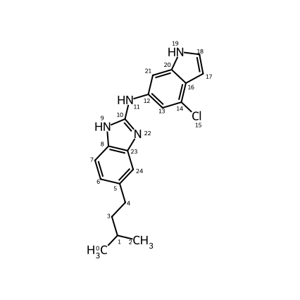 CC(C)CCc1ccc2[nH]c(Nc3cc(Cl)c4cc[nH]c4c3)nc2c1